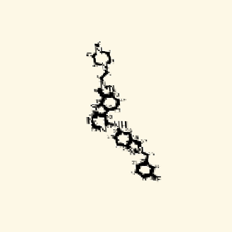 CN1CCN(CCn2cc3c(n2)CCc2c-3sc3ncnc(Nc4ccc5nn(Cc6cccc(F)c6)cc5c4)c23)CC1